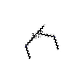 CCCCCCCC/C=C\CCCCCCCC(=O)NCC(CCCCCC)NC(=O)CCCCCCC/C=C\CCCCCCCC